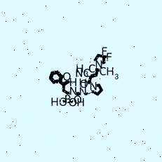 CC(C)(C=C(C#N)C(=O)N1CCC[C@@H]1CNC(=O)NC(Cc1coc2ccccc12)B(O)O)N1CCC(F)(F)C1